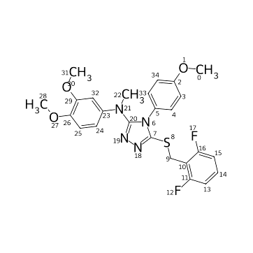 COc1ccc(-n2c(SCc3c(F)cccc3F)nnc2N(C)c2ccc(OC)c(OC)c2)cc1